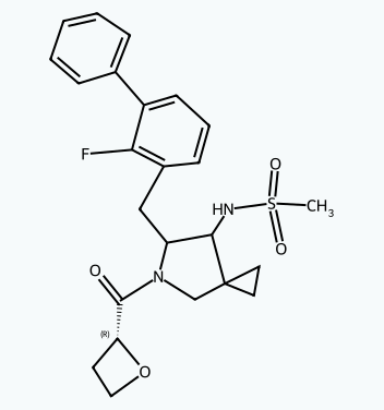 CS(=O)(=O)NC1C(Cc2cccc(-c3ccccc3)c2F)N(C(=O)[C@H]2CCO2)CC12CC2